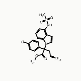 C=CCC(C(=O)OC)(c1ccc(Cl)cc1)n1ccc2c(NS(C)(=O)=O)cccc21